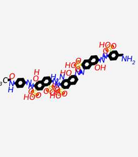 CC(=O)Nc1ccc(N=Nc2c(S(=O)(=O)O)cc3c(S(=O)(=O)O)c(N=Nc4c(S(=O)(=O)O)cc5ccc(N=Nc6cc7c(O)c(N=Nc8ccc(CN)cc8S(=O)(=O)O)ccc7cc6S(=O)(=O)O)c(O)c5c4N)ccc3c2O)cc1